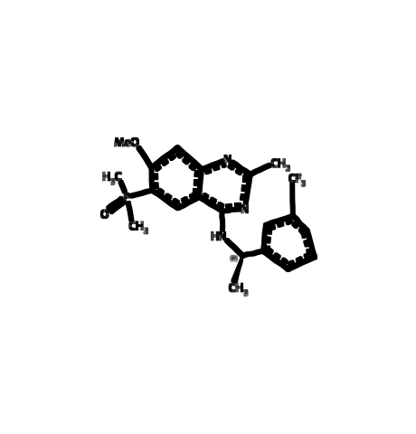 COc1cc2nc(C)nc(N[C@H](C)c3cccc(C(F)(F)F)c3)c2cc1P(C)(C)=O